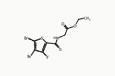 CCOC(=O)CNC(=O)c1sc(Br)c(Br)c1F